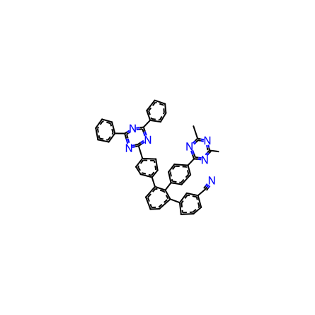 Cc1nc(C)nc(-c2ccc(-c3c(-c4ccc(-c5nc(-c6ccccc6)nc(-c6ccccc6)n5)cc4)cccc3-c3cccc(C#N)c3)cc2)n1